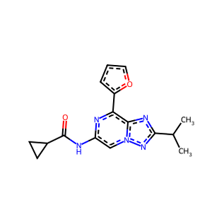 CC(C)c1nc2c(-c3ccco3)nc(NC(=O)C3CC3)cn2n1